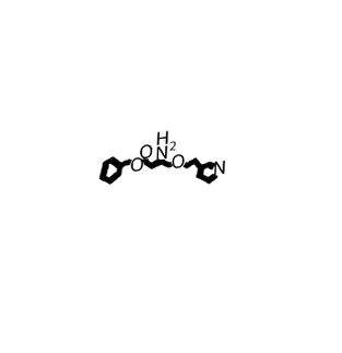 NC(=CC(=O)OCc1ccccc1)COCCc1cccnc1